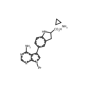 C1CC1.CC(C)n1cc(-c2ccc3c(c2)CC(C(=O)O)N3)c2c(N)ncnc21.N